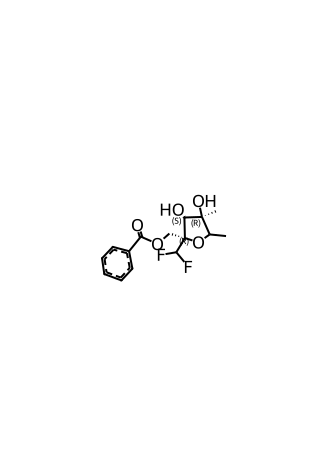 CC1O[C@@](COC(=O)c2ccccc2)(C(F)F)[C@@H](O)[C@@]1(C)O